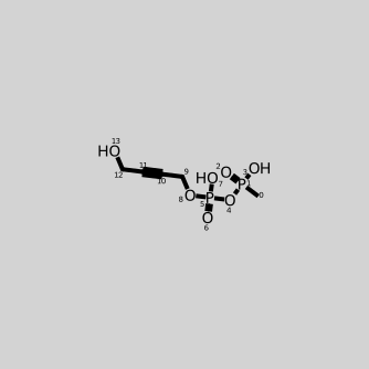 CP(=O)(O)OP(=O)(O)OCC#CCO